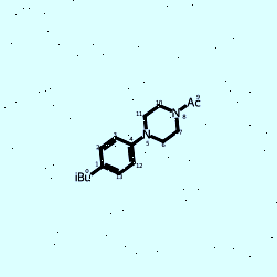 CCC(C)c1ccc(N2CCN(C(C)=O)CC2)cc1